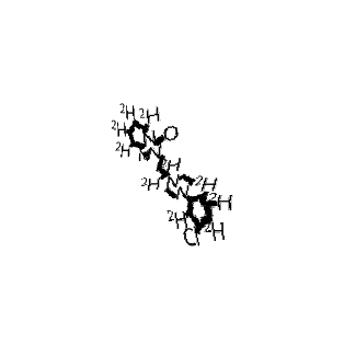 [2H]c1c([2H])c(Cl)c([2H])c(N2CCN(C([2H])([2H])CCn3nc4c([2H])c([2H])c([2H])c([2H])n4c3=O)CC2)c1[2H]